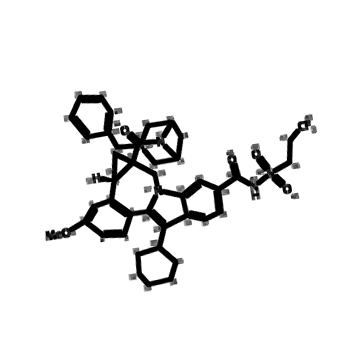 COc1ccc2c(c1)[C@@H]1CC1(C(=O)N1C3CC1CN(Cc1ccccc1)C3)Cn1c-2c(C2CCCCC2)c2ccc(C(=O)NS(=O)(=O)CCC(F)(F)F)cc21